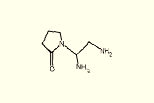 NCC(N)N1CCCC1=O